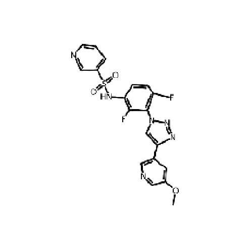 COc1cncc(-c2cn(-c3c(F)ccc(NS(=O)(=O)c4cccnc4)c3F)nn2)c1